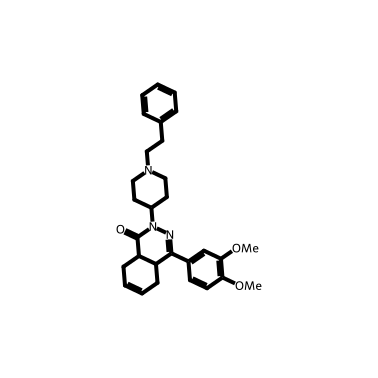 COc1ccc(C2=NN(C3CCN(CCc4ccccc4)CC3)C(=O)C3CC=CCC23)cc1OC